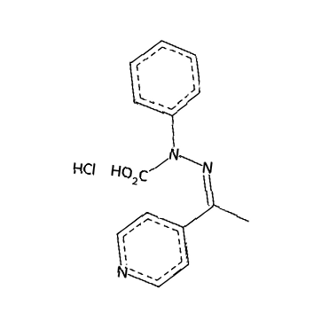 CC(=NN(C(=O)O)c1ccccc1)c1ccncc1.Cl